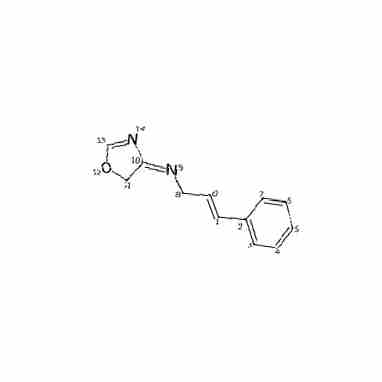 C(=Cc1ccccc1)CN=C1COC=N1